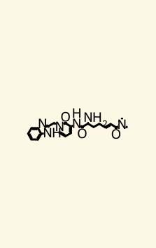 CN(C)C(=O)/C=C/CC[C@H](N)C(=O)Nc1cccn(Cc2nc3ccccc3[nH]2)c1=O